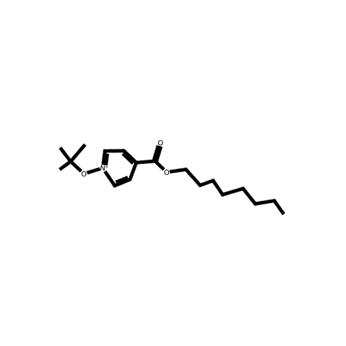 CCCCCCCCOC(=O)c1cc[n+](OC(C)(C)C)cc1